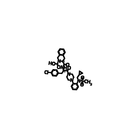 CS(=O)(=O)N(CC1CC1)c1ccccc1N1CCN(C(=O)[C@@H](Cc2ccc(Cl)cc2)NC(=O)[C@@H]2Cc3ccccc3CN2C(=O)O)CC1